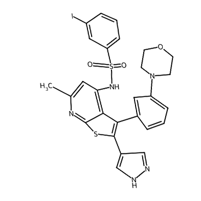 Cc1cc(NS(=O)(=O)c2cccc(I)c2)c2c(-c3cccc(N4CCOCC4)c3)c(-c3cn[nH]c3)sc2n1